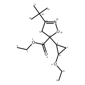 CCOC(=O)C1(C2CC2OCC)CC(C(C)(C)C)=NO1